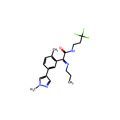 CCC/N=C(/C(=O)NCCC(F)(F)F)c1cc(-c2cnn(C)c2)ccc1C